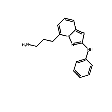 NCCCc1cccc2nc(Nc3ccccc3)nn12